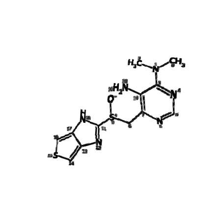 CN(C)c1ncnc(C[S+]([O-])c2nc3cscc3[nH]2)c1N